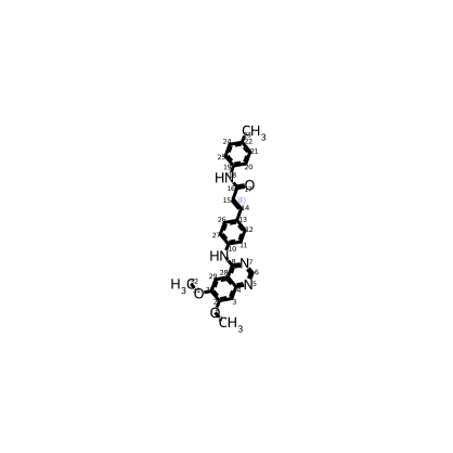 COc1cc2ncnc(Nc3ccc(/C=C/C(=O)Nc4ccc(C)cc4)cc3)c2cc1OC